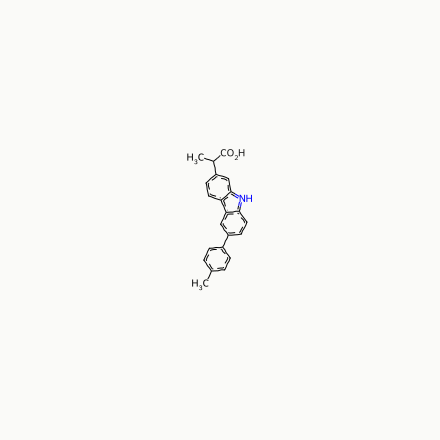 Cc1ccc(-c2ccc3[nH]c4cc(C(C)C(=O)O)ccc4c3c2)cc1